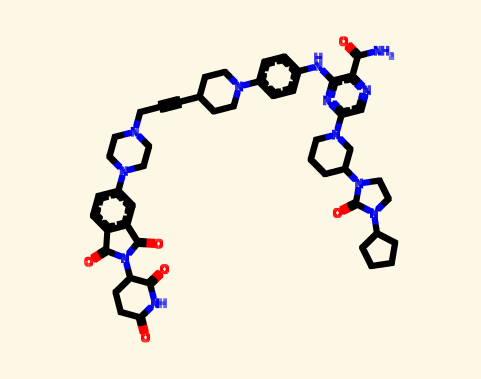 NC(=O)c1ncc(N2CCCC(N3CCN(C4CCCC4)C3=O)C2)nc1Nc1ccc(N2CCC(C#CCN3CCN(c4ccc5c(c4)C(=O)N(C4CCC(=O)NC4=O)C5=O)CC3)CC2)cc1